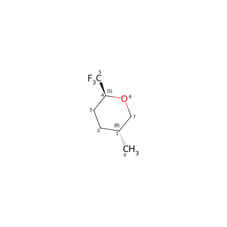 C[C@@H]1CC[C@@H](C(F)(F)F)OC1